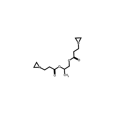 CC(COC(=O)CCN1CC1)OC(=O)CCN1CC1